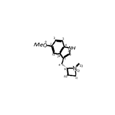 COc1ccc2[nH]cc(C[C@H]3CCN3C)c2c1